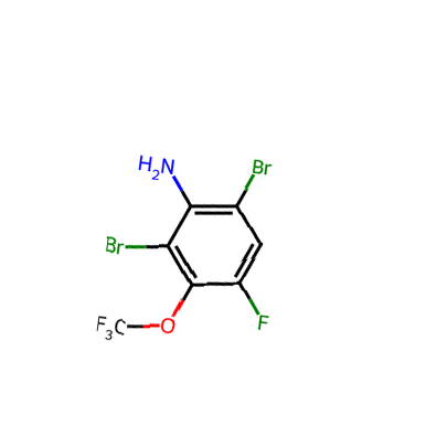 Nc1c(Br)cc(F)c(OC(F)(F)F)c1Br